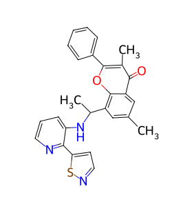 Cc1cc(C(C)Nc2cccnc2-c2ccns2)c2oc(-c3ccccc3)c(C)c(=O)c2c1